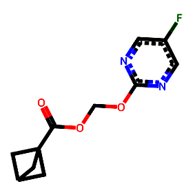 O=C(OCOc1ncc(F)cn1)C12CC(C1)C2